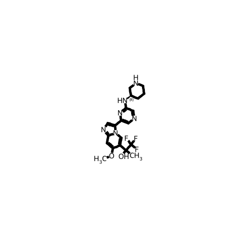 COc1cc2ncc(-c3cncc(N[C@@H]4CCCNC4)n3)n2cc1C(C)(O)C(F)(F)F